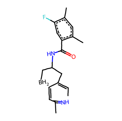 BCC(CC(/C=C\C(C)=N)=C/C)NC(=O)c1cc(F)c(C)cc1C